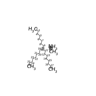 CBr.CCCCCCCCP(CCCCCCCC)CCCCCCCC.N